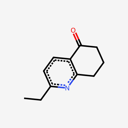 CCc1ccc2c(n1)CCCC2=O